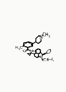 Cc1ccc(C2CCN(C)CC2)cc1C(=O)NC1(c2ccc3c4c(cccc24)C(=O)N3C)CC1